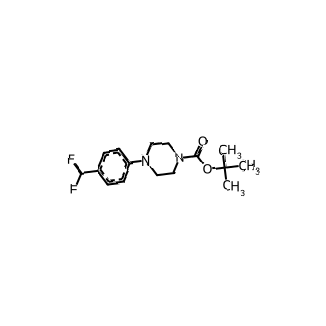 CC(C)(C)OC(=O)N1CCN(c2ccc(C(F)F)cc2)CC1